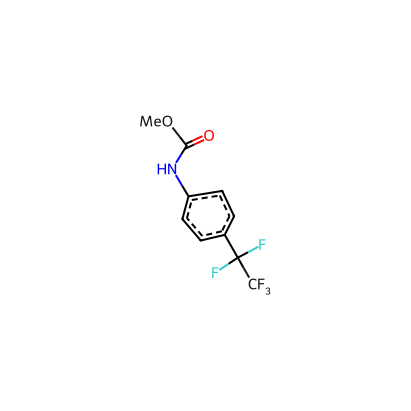 COC(=O)Nc1ccc(C(F)(F)C(F)(F)F)cc1